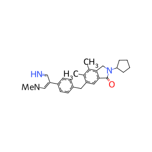 CN/C=C(\C=N)c1ccc(Cc2cc3c(c(C)c2C)CN(C2CCCC2)C3=O)cc1